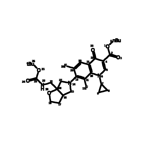 CCCCOC(=O)c1cn(C2CC2)c2c(F)c(N3CC4CCOC4(CNC(=O)OC(C)(C)C)C3)c(F)cc2c1=O